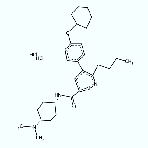 CCCCc1nnc(C(=O)N[C@H]2CC[C@@H](N(C)C)CC2)cc1-c1ccc(OC2CCCCC2)cc1.Cl.Cl